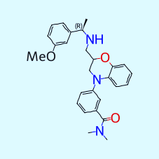 COc1cccc([C@@H](C)NCC2CN(c3cccc(C(=O)N(C)C)c3)c3ccccc3O2)c1